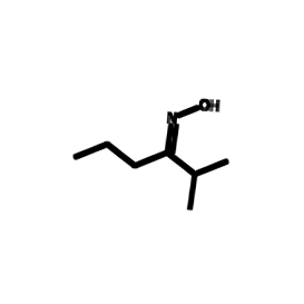 CCCC(=NO)C(C)C